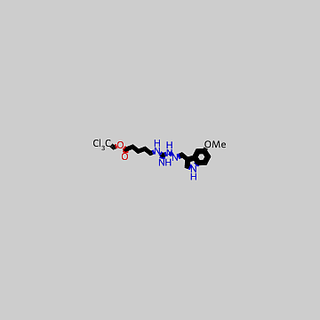 COc1ccc2[nH]cc(/C=N/NC(=N)NCCCCC(=O)OCC(Cl)(Cl)Cl)c2c1